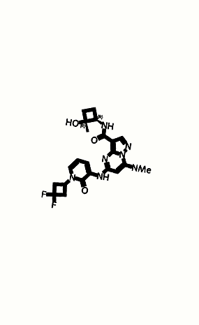 CNc1cc(Nc2cccn(C3CC(F)(F)C3)c2=O)nc2c(C(=O)N[C@@H]3CC[C@@]3(C)O)cnn12